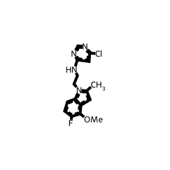 COc1c(F)ccc2c1cc(C)n2CCNc1cc(Cl)ncn1